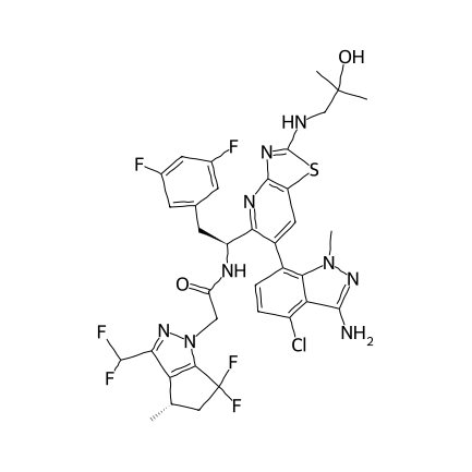 C[C@H]1CC(F)(F)c2c1c(C(F)F)nn2CC(=O)N[C@@H](Cc1cc(F)cc(F)c1)c1nc2nc(NCC(C)(C)O)sc2cc1-c1ccc(Cl)c2c(N)nn(C)c12